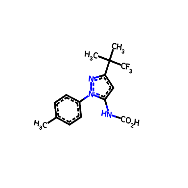 Cc1ccc(-n2nc(C(C)(C)C(F)(F)F)cc2NC(=O)O)cc1